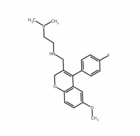 COc1ccc2c(c1)C(c1ccc(F)cc1)=C(CNCCN(C)C)CO2